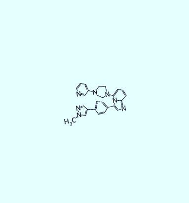 Cn1cc(-c2ccc(-c3cnc4cccc(N5CCN(c6cccnc6)CC5)n34)cc2)cn1